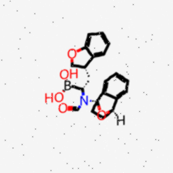 O=CN([C@@H](C[C@@H]1COc2ccccc21)B(O)O)[C@@]12CC[C@@H](O1)c1ccccc12